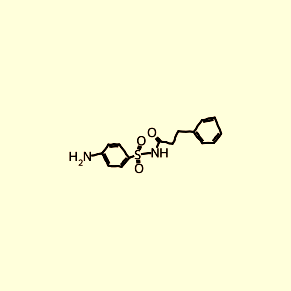 Nc1ccc(S(=O)(=O)NC(=O)CCc2ccccc2)cc1